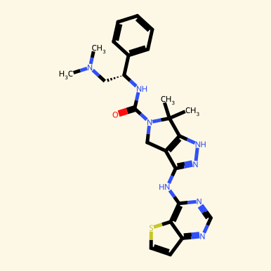 CN(C)C[C@@H](NC(=O)N1Cc2c(Nc3ncnc4ccsc34)n[nH]c2C1(C)C)c1ccccc1